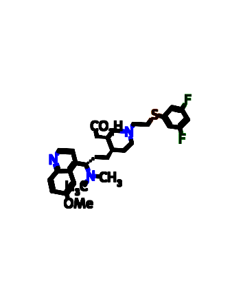 COc1ccc2nccc([C@H](CC[C@@H]3CCN(CCSc4cc(F)cc(F)c4)C[C@@H]3CC(=O)O)N(C)C)c2c1